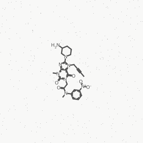 CC#CCn1c(N2CCCC(N)C2)nc2c1c(=O)n(CC(=O)N(C)c1cccc([N+](=O)[O-])c1)c(=O)n2C